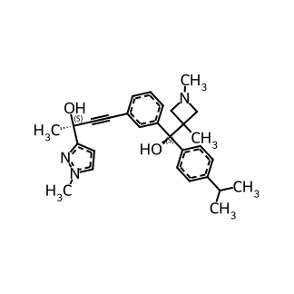 CC(C)c1ccc([C@](O)(c2cccc(C#C[C@](C)(O)c3ccn(C)n3)c2)C2(C)CN(C)C2)cc1